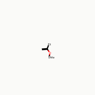 C=C(CC)OSC